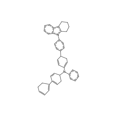 C1=CCCC(C2=CCC(N(C3=CCC(c4ccc(-n5c6c(c7ccccc75)CCCC6)cc4)C=C3)c3ccccc3)C=C2)=C1